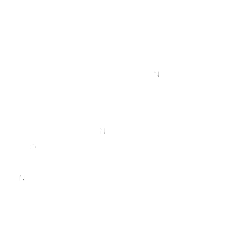 c1ccc(N(c2ccc(-c3ccccc3-n3c4ccccc4c4ccccc43)cc2)c2ccc3oc4ncccc4c3c2)cc1